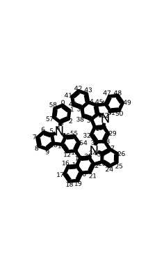 c1ccc(-n2c3ccccc3c3cc(-c4c5ccccc5cc5c6cccc7c8cc9c(cc8n(c45)c76)c4cc5ccccc5c5c6ccccc6n9c45)ccc32)cc1